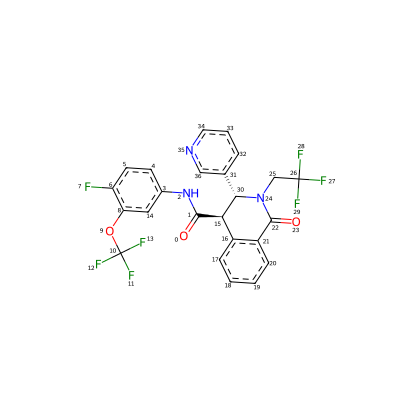 O=C(Nc1ccc(F)c(OC(F)(F)F)c1)[C@@H]1c2ccccc2C(=O)N(CC(F)(F)F)[C@H]1c1cccnc1